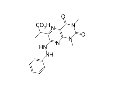 CC(C(=O)O)c1nc2c(=O)n(C)c(=O)n(C)c2nc1NNc1ccccc1